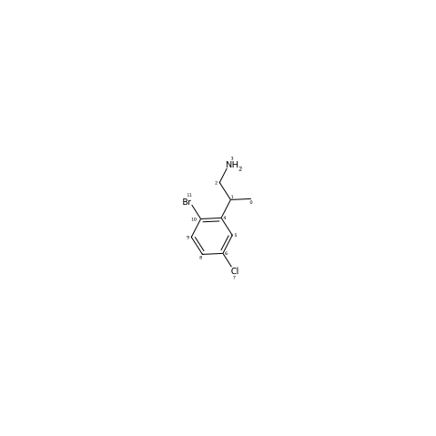 CC(CN)c1cc(Cl)ccc1Br